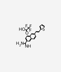 N=C(N)c1ccc2cc(/C=C/c3cccs3)ccc2c1.O=C(O)C(F)(F)F